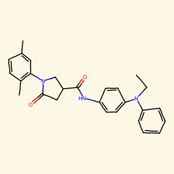 CCN(c1ccccc1)c1ccc(NC(=O)C2CC(=O)N(c3cc(C)ccc3C)C2)cc1